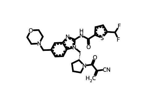 C=C(C#N)C(=O)N1CCC[C@@H]1Cn1c(NC(=O)c2ccc(C(F)F)s2)nc2cc(CN3CCOCC3)ccc21